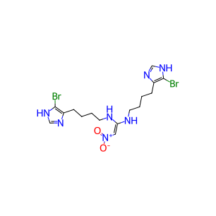 O=[N+]([O-])C=C(NCCCCc1nc[nH]c1Br)NCCCCc1nc[nH]c1Br